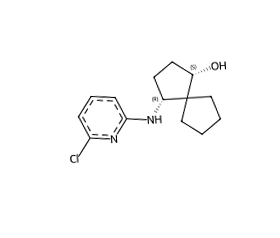 O[C@H]1CC[C@@H](Nc2cccc(Cl)n2)C12CCCC2